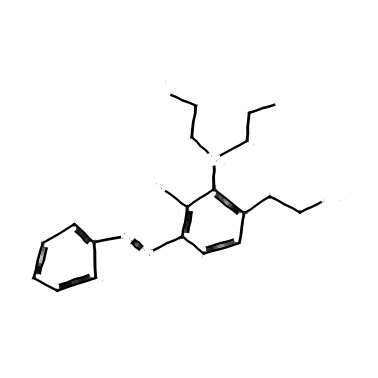 CCCCCCCCCCCCc1ccc(N=Nc2ccccc2)c([N+](=O)[O-])c1N(CCC(=O)O)CCC(=O)O